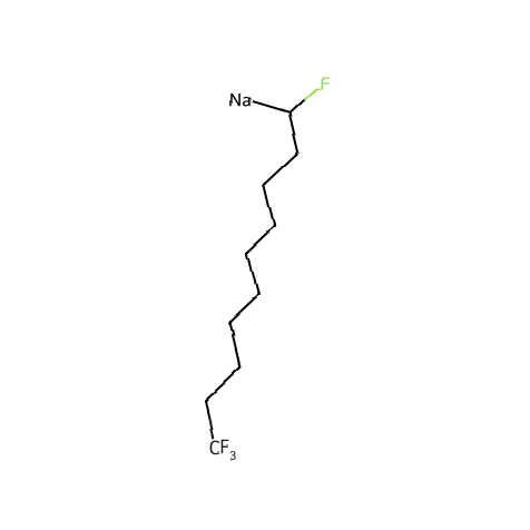 F[CH]([Na])CCCCCCCCC(F)(F)F